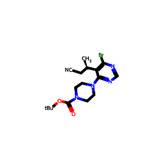 C[C@H](CC#N)c1c(Br)ncnc1N1CCN(C(=O)OC(C)(C)C)CC1